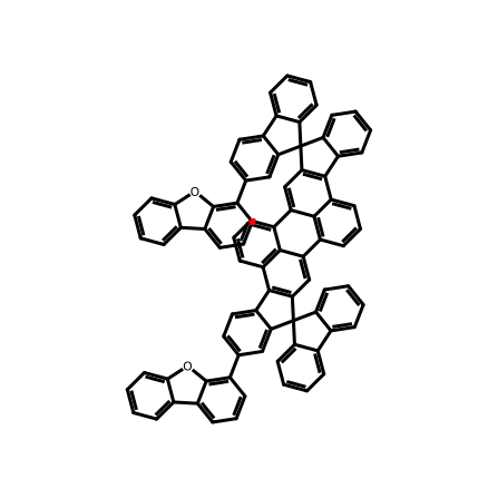 c1ccc2c(c1)-c1ccc(-c3cccc4c3oc3ccccc34)cc1C21c2ccccc2-c2c1cc1c3cccc4c5c(cc(c6cccc2c61)c43)C1(c2ccccc2-c2ccccc21)c1cc(-c2cccc3c2oc2ccccc23)ccc1-5